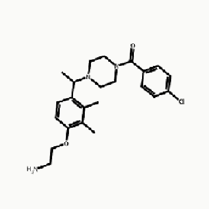 Cc1c(OCCN)ccc(C(C)N2CCN(C(=O)c3ccc(Cl)cc3)CC2)c1C